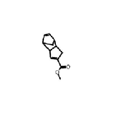 COC(=O)C1=CC2C3C=CC(C3)C2C1